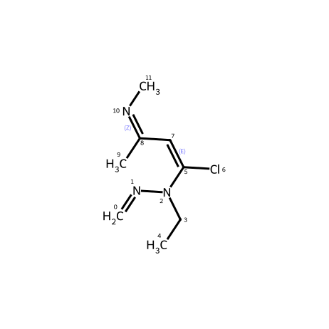 C=NN(CC)/C(Cl)=C\C(C)=N/C